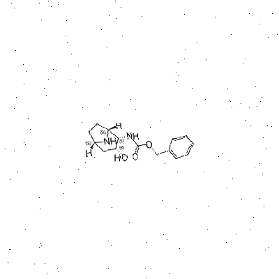 O=C(N[C@@H]1[C@H](O)C[C@@H]2CC[C@H]1N2)OCc1ccccc1